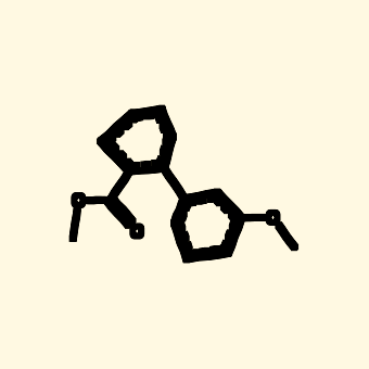 COC(=O)c1ccccc1-c1cccc(OC)c1